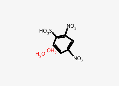 O.O.O=[N+]([O-])c1ccc(S(=O)(=O)O)c([N+](=O)[O-])c1